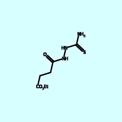 CCOC(=O)CCC(=O)NNC(N)=S